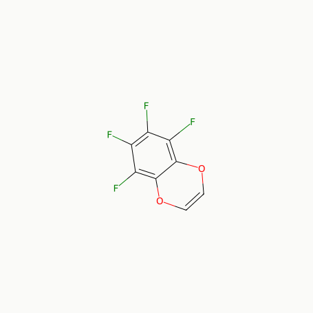 Fc1c(F)c(F)c2c(c1F)OC=CO2